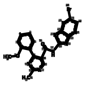 COc1ccccc1-c1nc(C)ncc1C(=O)Nc1nc2ncc(Br)nc2s1